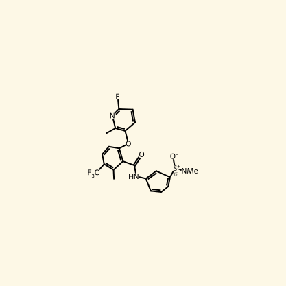 CN[S@+]([O-])c1cccc(NC(=O)c2c(Oc3ccc(F)nc3C)ccc(C(F)(F)F)c2C)c1